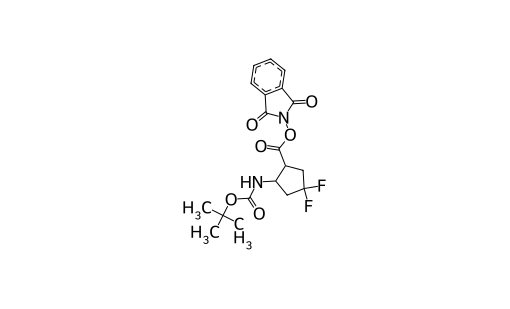 CC(C)(C)OC(=O)NC1CC(F)(F)CC1C(=O)ON1C(=O)c2ccccc2C1=O